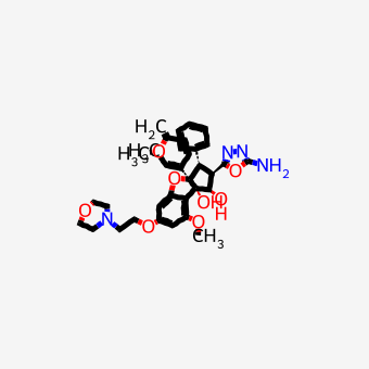 C=C(/C=C\C(=C/C)[C@@]12Oc3cc(OCCN4CCOCC4)cc(OC)c3[C@]1(O)[C@H](O)[C@H](c1nnc(N)o1)[C@H]2c1ccccc1)OC